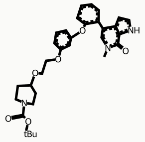 Cn1cc(-c2ccccc2Oc2cccc(OCCOC3CCN(C(=O)OC(C)(C)C)CC3)c2)c2cc[nH]c2c1=O